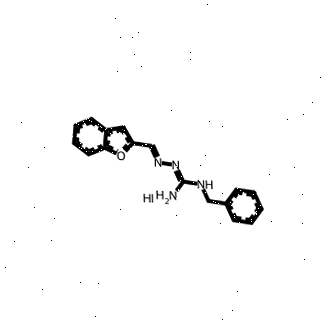 I.N/C(=N\N=C\c1cc2ccccc2o1)NCc1ccccc1